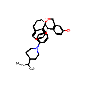 COC(OC)C1CCN(c2ccc([C@H]3c4ccc(O)cc4CO[C@@]34CCCc3ccccc34)cc2)CC1